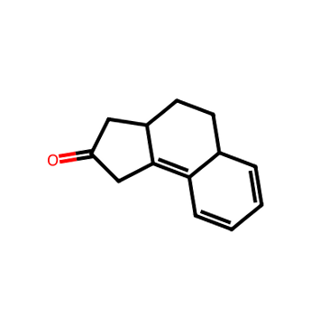 O=C1CC2=C3C=CC=CC3CCC2C1